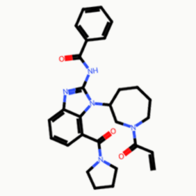 C=CC(=O)N1CCCCC(n2c(NC(=O)c3ccccc3)nc3cccc(C(=O)N4CCCC4)c32)C1